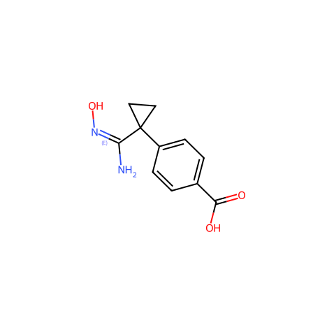 N/C(=N/O)C1(c2ccc(C(=O)O)cc2)CC1